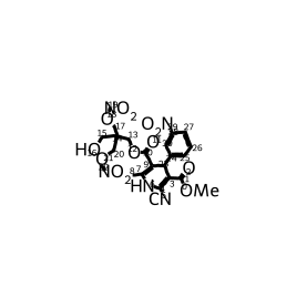 COC(=O)C1=C(C#N)NC(C)=C(C(=O)OCC(CO)(CO[N+](=O)[O-])CO[N+](=O)[O-])C1c1cccc([N+](=O)[O-])c1